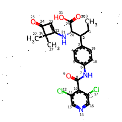 CCC(c1ccc(NC(=O)c2c(Cl)cncc2Cl)cc1)[C@H](NC1=CC(=O)C1(C)C)C(=O)O